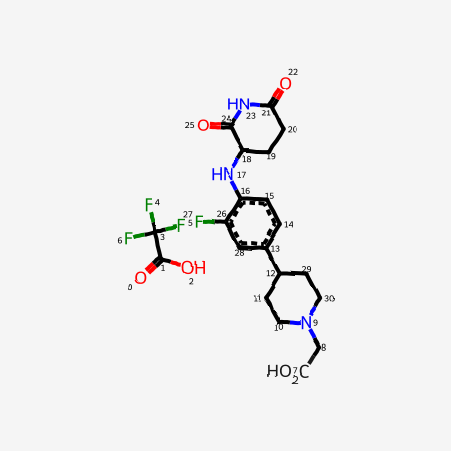 O=C(O)C(F)(F)F.O=C(O)CN1CCC(c2ccc(NC3CCC(=O)NC3=O)c(F)c2)CC1